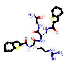 N=C(N)NCCC[C@H](NC(=O)c1cc2ccccc2s1)C(=O)N[C@@H](CNC(=O)c1cc2ccccc2s1)C(=O)NCC(N)=O